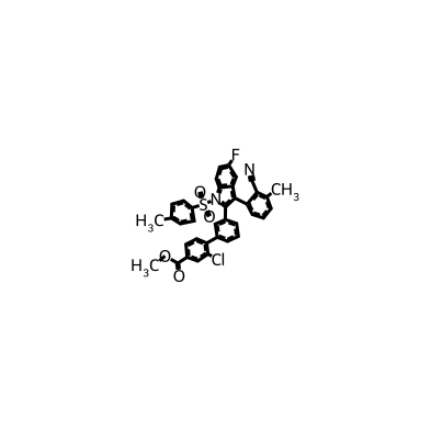 COC(=O)c1ccc(-c2cccc(-c3c(-c4cccc(C)c4C#N)c4cc(F)ccc4n3S(=O)(=O)c3ccc(C)cc3)c2)c(Cl)c1